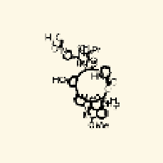 C=CC(=O)N1CC[C@H](C(=O)N(C)C(C(=O)N[C@H]2Cc3cc(O)cc(c3)-c3ccc4c(c3)c(c(-c3c(COC)cccc3COC)n4CC)CC(C)(C)COC(=O)[C@@H]3CCCN(N3)C2=O)C(C)C)C1